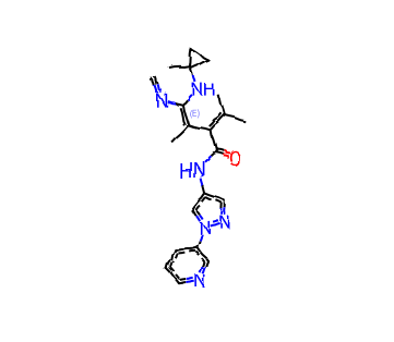 C=N/C(NC1(C)CC1)=C(\C)C(C(=O)Nc1cnn(-c2cccnc2)c1)=C(C)C